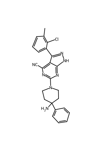 Cc1cccc(-c2n[nH]c3nc(N4CCC(N)(c5ccccc5)CC4)nc(C#N)c23)c1Cl